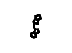 C1=CC(CC2=Cc3ccccc3C2)c2ccccc21